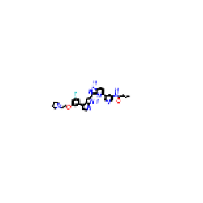 CCCC(=O)Nc1cncc(-c2ccc3[nH]nc(-c4cc5c(-c6cc(F)cc(OCCN7CCCC7)c6)ccnc5[nH]4)c3n2)c1